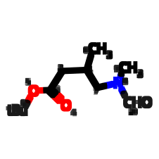 CC(CC(=O)OC(C)(C)C)CN(C)C=O